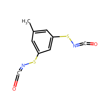 Cc1cc(SN=C=O)cc(SN=C=O)c1